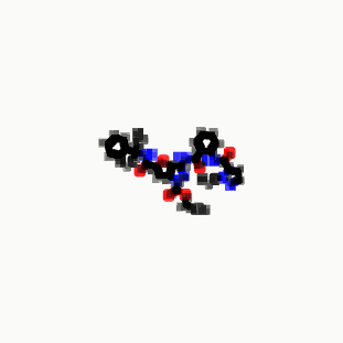 Cn1nccc1C(=O)Nc1ccccc1C(=O)Nc1nn(C(=O)OCC(C)(C)C)c2cc(C(=O)NC(C)(C)c3ccccc3)oc12